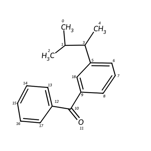 CC(C)C(C)c1cccc(C(=O)c2ccccc2)c1